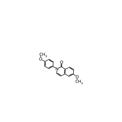 COc1ccc(-n2ccc3cc(OC)ccc3c2=O)cc1